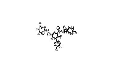 Cc1ncc(C(C)NC(=O)c2cc(OC[C@H]3CN(C)CCO3)cc(-c3ncc(C)s3)c2F)cn1